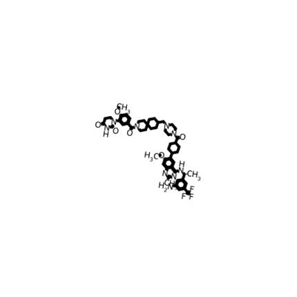 COc1cc2nc(C)nc(N[C@H](C)c3cc(N)cc(C(F)(F)F)c3)c2cc1C1CCC(C(=O)N2CCN(CC3CCC4(CC3)CCN(C(=O)c3ccc(OC)c(N5CCC(=O)NC5=O)c3)CC4)CC2)CC1